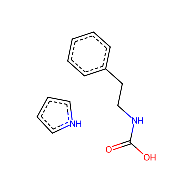 O=C(O)NCCc1ccccc1.c1cc[nH]c1